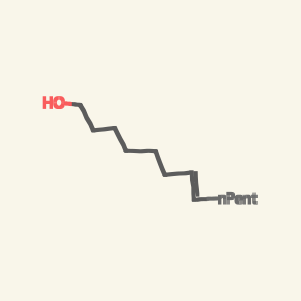 CCCCCC=CCCCCCCO